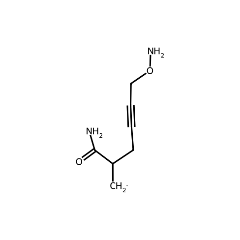 [CH2]C(CC#CCON)C(N)=O